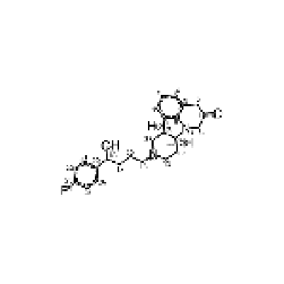 O=C1Cc2cccc3c2N(C1)[C@H]1CCN(CCCC(O)c2ccc(F)cc2)C[C@@H]31